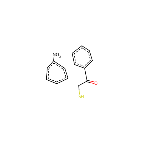 O=C(CS)c1ccccc1.O=[N+]([O-])c1ccccc1